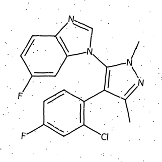 Cc1nn(C)c(-n2cnc3ccc(F)cc32)c1-c1ccc(F)cc1Cl